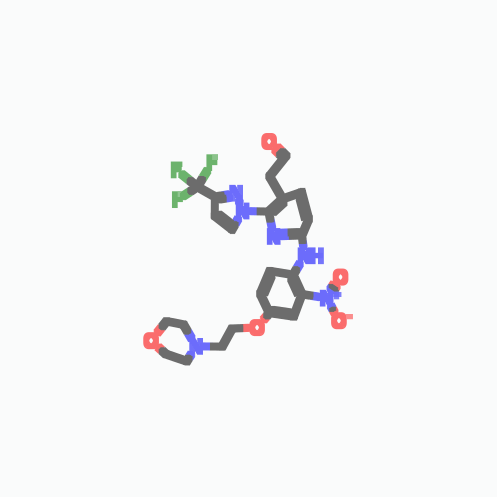 O=CCc1ccc(Nc2ccc(OCCN3CCOCC3)cc2[N+](=O)[O-])nc1-n1ccc(C(F)(F)F)n1